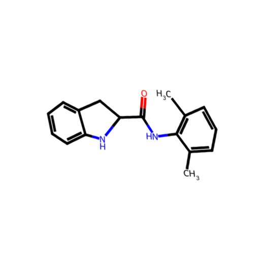 Cc1cccc(C)c1NC(=O)C1Cc2ccccc2N1